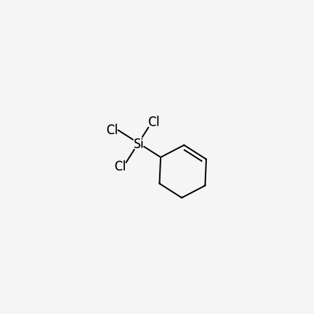 Cl[Si](Cl)(Cl)C1C=CCCC1